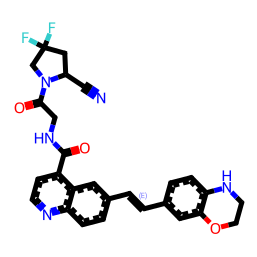 N#CC1CC(F)(F)CN1C(=O)CNC(=O)c1ccnc2ccc(/C=C/c3ccc4c(c3)OCCN4)cc12